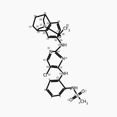 CS(=O)(=O)Nc1ccccc1Nc1nc(Nc2ccc3c(c2)C2CCC3CN(C(=O)C(F)(F)F)C2)ncc1Cl